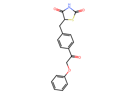 O=C1NC(=O)C(Cc2ccc(C(=O)COc3ccccc3)cc2)S1